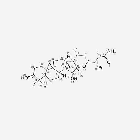 CC(C)[C@@H](OC(N)=O)[C@H]1C[C@@H](C)[C@H]2[C@H](O1)[C@H](O)[C@@]1(C)[C@@H]3CC[C@H]4C(C)(C)[C@@H](O)CC[C@@]45C[C@@]35CC[C@]21C